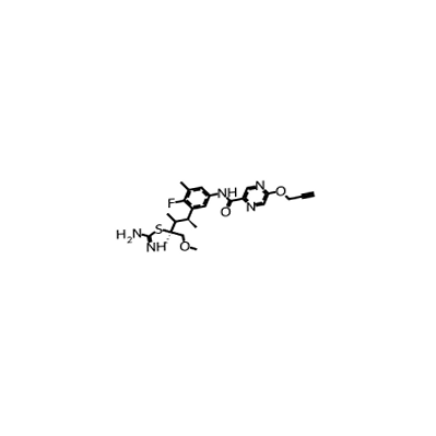 C#CCOc1cnc(C(=O)Nc2cc(C)c(F)c([C@@H](C)C(C)[C@@](C)(COC)SC(=N)N)c2)cn1